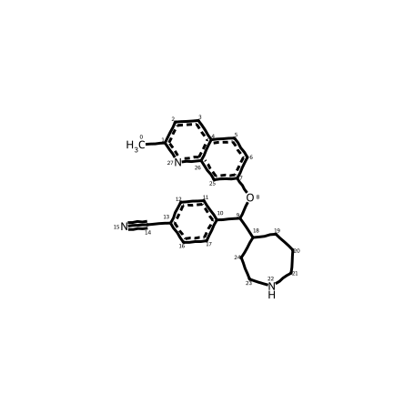 Cc1ccc2ccc(OC(c3ccc(C#N)cc3)C3CCCNCC3)cc2n1